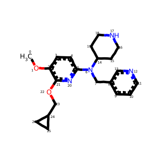 COc1ccc(N(Cc2cccnc2)C2CCNCC2)nc1OCC1CC1